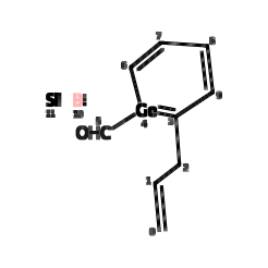 C=CC[C]1=[Ge]([CH]=O)[CH]=CC=C1.[B].[Si]